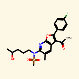 CNC(=O)c1c(-c2ccc(F)cc2)oc2nc(N(CCCC(C)O)S(C)(=O)=O)c(C)cc12